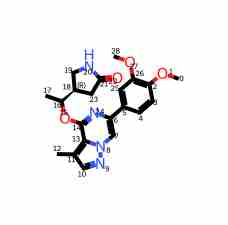 COc1ccc(-c2cn3ncc(C)c3c(OC(C)[C@H]3CNC(=O)C3)n2)cc1OC